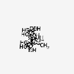 C=CCCCO[C@H]1OC(CO)[C@@H](O)C(O)C1O[C@H]1OC(CO)[C@@H](O)C(O)C1O[C@@H]1OC(CO)[C@@H](O)C(O)C1O